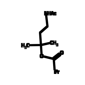 CC(=O)NCCC(C)(C)OC(=O)C(C)C